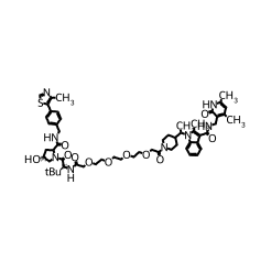 Cc1cc(C)c(CNC(=O)c2c(C)n(C(C)C3CCN(C(=O)COCCOCCOCCOCC(=O)N[C@H](C(=O)N4C[C@H](O)CC4C(=O)NCc4ccc(-c5scnc5C)cc4)C(C)(C)C)CC3)c3ccccc23)c(=O)[nH]1